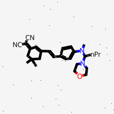 CCCC(N1CCOCC1)N(C)c1ccc(C=CC2=CC(=C(C#N)C#N)CC(C)(C)C2)cc1